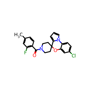 Cc1ccc(C(=O)N2CCC3(CC2)Oc2cc(Cl)ccc2-n2cccc23)c(F)c1